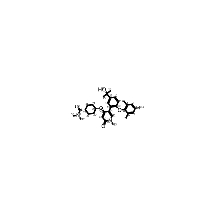 Cc1cc(F)cc(C)c1Oc1ccc(C(C)(C)O)cc1-c1cn(C)c(=O)cc1O[C@H]1CC[C@H](C(=O)N(C)C)CC1